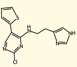 Clc1ncc(-c2cccs2)c(NCCc2c[nH]cn2)n1